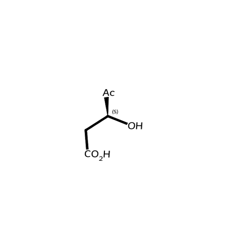 CC(=O)[C@@H](O)CC(=O)O